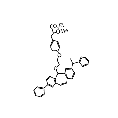 CCOC(=O)C(Cc1ccc(OCCOC2c3ccc(-c4ccccc4)cc3C=Cc3ccc(C(C)c4ccccc4)cc32)cc1)OC